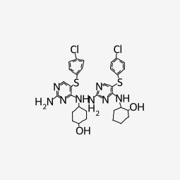 Nc1ncc(Sc2ccc(Cl)cc2)c(NC2CCC(O)CC2)n1.Nc1ncc(Sc2ccc(Cl)cc2)c(NC2CCCCC2O)n1